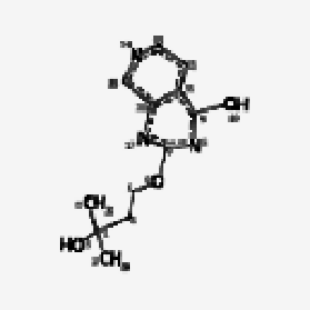 CC(C)(O)CCOc1nc(O)c2ccncc2n1